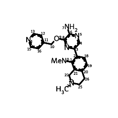 CNc1c(-c2cnc(N)c(OCc3ccncc3)n2)ccc2c1CN(C)CC2